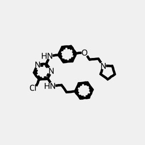 Clc1cnc(Nc2ccc(OCCN3CCCC3)cc2)nc1NCCc1ccccc1